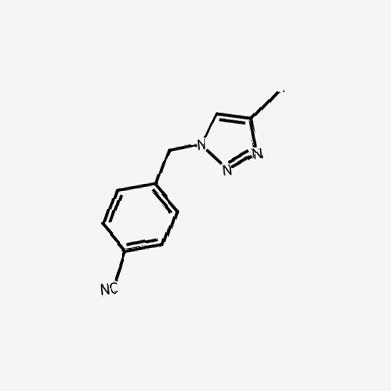 [CH2]c1cn(Cc2ccc(C#N)cc2)nn1